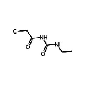 CCNC(=O)NC(=O)CCl